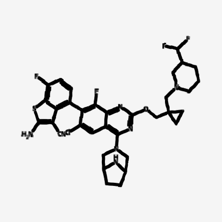 N#Cc1c(N)sc2c(F)ccc(-c3c(Cl)cc4c(N5CC6CCC(C5)N6)nc(OCC5(CN6CCCC(C(F)F)C6)CC5)nc4c3F)c12